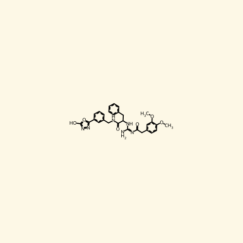 COc1ccc(CC(=O)N=C(N)NC(Cc2ccccc2)C(=O)NCc2cccc(-c3nnc(O)o3)c2)cc1OC